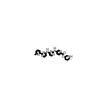 Cc1cccc(-c2nccc(Nc3ccnc(Nc4ccc(C(=O)O[C@@H]5CC[C@@H](C)NC5)nc4)n3)n2)n1